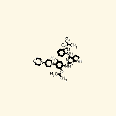 Cc1cc(Nc2nc3c(c(Nc4ccccc4S(=O)(=O)C(C)C)n2)CCN3)c(OC(C)C)cc1N1CCC(N2CCOCC2)CC1